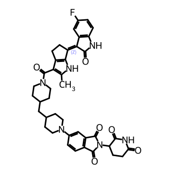 Cc1[nH]c2c(c1C(=O)N1CCC(CC3CCN(c4ccc5c(c4)C(=O)N(C4CCC(=O)NC4=O)C5=O)CC3)CC1)CC/C2=C1/C(=O)Nc2ccc(F)cc21